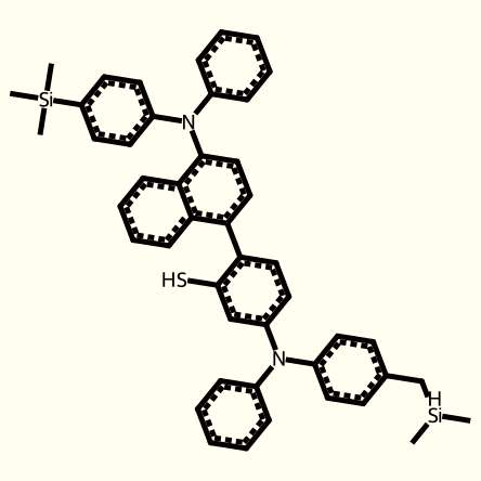 C[SiH](C)Cc1ccc(N(c2ccccc2)c2ccc(-c3ccc(N(c4ccccc4)c4ccc([Si](C)(C)C)cc4)c4ccccc34)c(S)c2)cc1